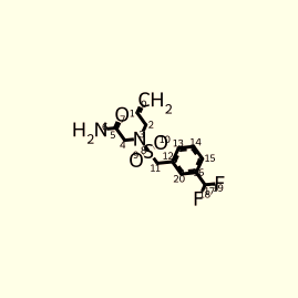 C=CCN(CC(N)=O)S(=O)(=O)Cc1cccc(C(F)F)c1